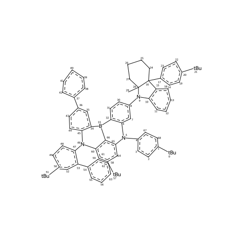 CC(C)(C)c1ccc(N2c3cc(N4c5ccccc5C5(c6ccc(C(C)(C)C)cc6)CCCCC45C)ccc3B3c4cc(-c5ccccc5)ccc4N(c4ccc(C(C)(C)C)cc4-c4ccccc4)c4cc(C(C)(C)C)cc2c43)cc1